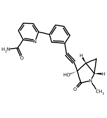 CN1C(=O)[C@@](O)(C#Cc2cccc(-c3cccc(C(N)=O)n3)c2)[C@@H]2C[C@@H]21